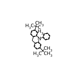 CC(C)(C)c1ccc2c(c1)N(c1ccccc1)c1cc(C(C)(C)C)ccc1C2